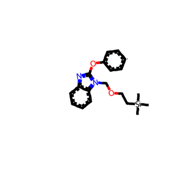 C[Si](C)(C)CCOCn1c(Oc2cc[c]cc2)nc2ccccc21